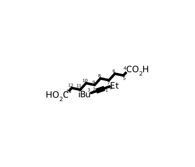 CCC#CC(C)CC.O=C(O)CCCCCCCCC(=O)O